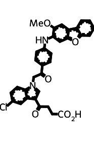 COc1cc2c(cc1Nc1ccc(C(=O)Cn3cc(C(=O)CCC(=O)O)c4cc(Cl)ccc43)cc1)oc1ccccc12